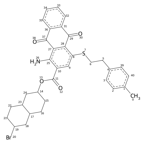 Cc1ccc(CCSc2cc(C(=O)OC3CCC4CC(Br)CCC4C3)c(N)c3c2C(=O)c2ccccc2C3=O)cc1